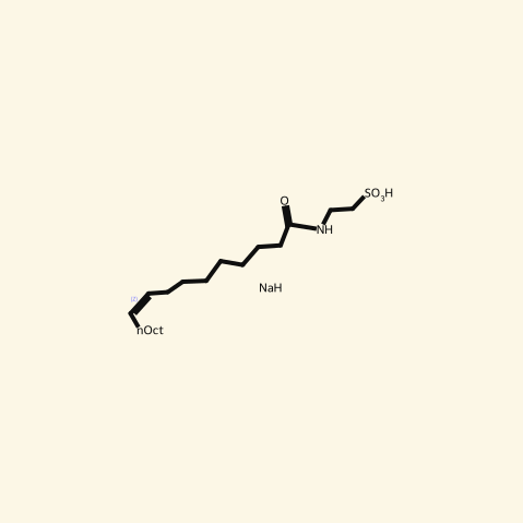 CCCCCCCC/C=C\CCCCCCCC(=O)NCCS(=O)(=O)O.[NaH]